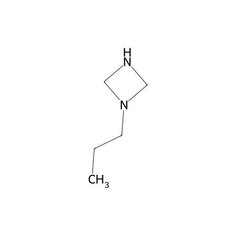 CCCN1CNC1